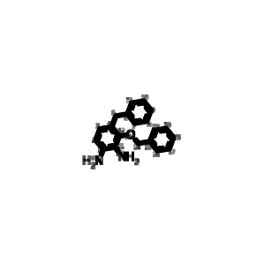 Nc1ccc(Cc2ccccc2)c(OCc2ccccc2)c1N